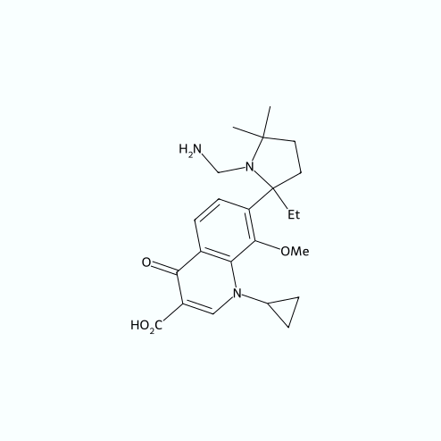 CCC1(c2ccc3c(=O)c(C(=O)O)cn(C4CC4)c3c2OC)CCC(C)(C)N1CN